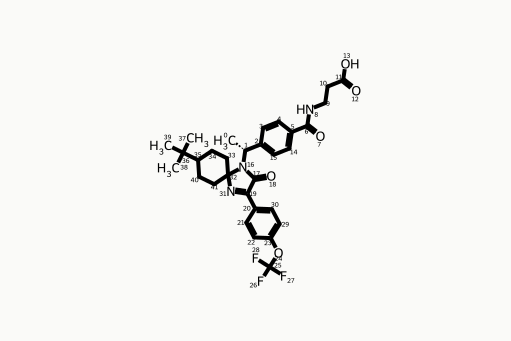 C[C@H](c1ccc(C(=O)NCCC(=O)O)cc1)N1C(=O)C(c2ccc(OC(F)(F)F)cc2)=NC12CCC(C(C)(C)C)CC2